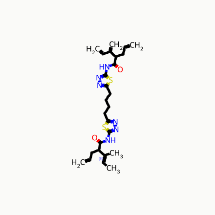 C=CCC(C(=C)C=C)C(=O)Nc1nnc(CCCCc2nnc(NC(=O)C(CC=C)/C(C)=C/C)s2)s1